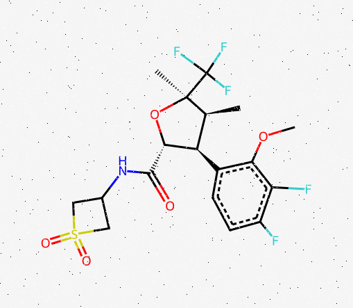 COc1c([C@H]2[C@H](C(=O)NC3CS(=O)(=O)C3)O[C@@](C)(C(F)(F)F)[C@H]2C)ccc(F)c1F